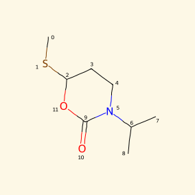 CSC1CCN(C(C)C)C(=O)O1